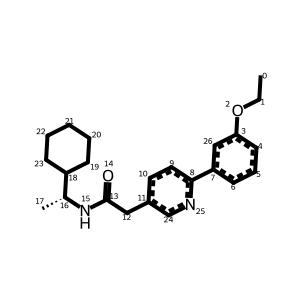 CCOc1cccc(-c2ccc(CC(=O)N[C@H](C)C3CCCCC3)cn2)c1